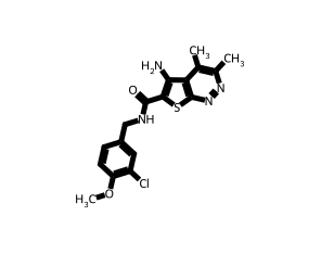 COc1ccc(CNC(=O)c2sc3nnc(C)c(C)c3c2N)cc1Cl